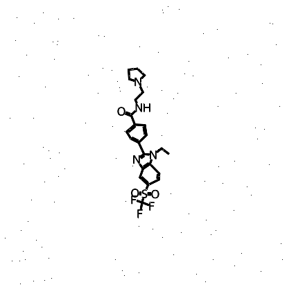 CCn1c(-c2ccc(C(=O)NCCN3CCCC3)cc2)nc2cc(S(=O)(=O)C(F)(F)F)ccc21